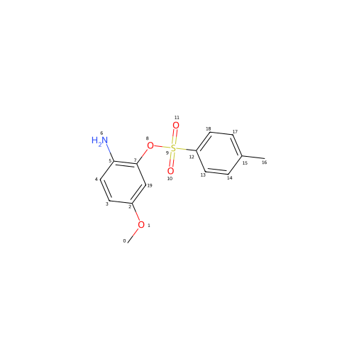 COc1ccc(N)c(OS(=O)(=O)c2ccc(C)cc2)c1